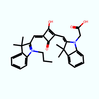 CCC[N+]1=C(C=C2C(=O)C(C=C3N(CC(=O)O)c4ccccc4C3(C)C)=C2O)C(C)(C)c2ccccc21